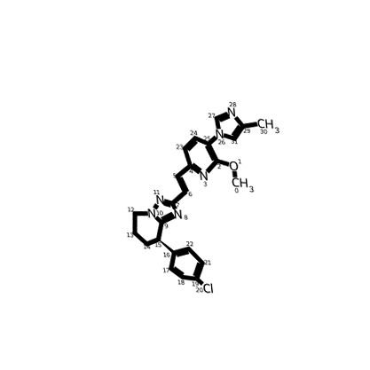 COc1nc(/C=C/c2nc3n(n2)CCC[C@@H]3c2ccc(Cl)cc2)ccc1-n1cnc(C)c1